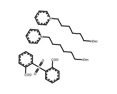 CCCCCCCCCCCCCCCC[n+]1ccccc1.CCCCCCCCCCCCCCCC[n+]1ccccc1.O=C([O-])c1ccccc1S(=O)(=O)c1ccccc1C(=O)[O-]